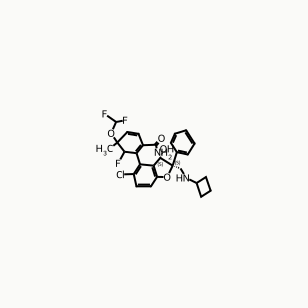 CC1(OC(F)F)C=CC(C(N)=O)=C(c2c(Cl)ccc3c2[C@H](O)[C@@](CNC2CCC2)(c2ccccc2)O3)C1F